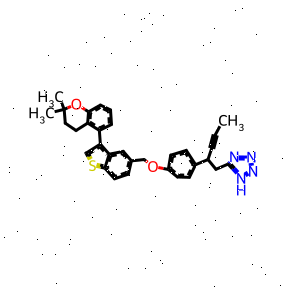 CC#CC(Cc1nnn[nH]1)c1ccc(OCc2ccc3scc(-c4cccc5c4CCC(C)(C)O5)c3c2)cc1